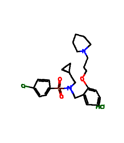 Cl.O=S(=O)(c1ccc(Cl)cc1)N(Cc1ccccc1OCCCN1CCCCC1)CC1CC1